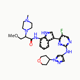 COCC(C(=O)Nc1cccc2c(-c3nc(Nc4cnn(C5CCOCC5)c4)ncc3F)c[nH]c12)N1CCN(C)CC1